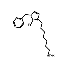 CCCCCCCCCCCCCCCCCN1C=CN(Cc2ccccc2)C1CC